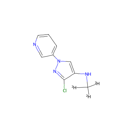 [2H]C([2H])([2H])Nc1cn(-c2cccnc2)nc1Cl